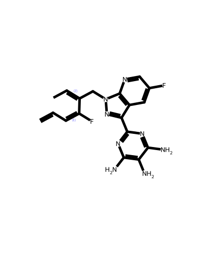 C=C/C=C(F)\C(=C/C)Cn1nc(-c2nc(N)c(N)c(N)n2)c2cc(F)cnc21